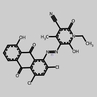 CCn1c(O)c(/N=N/c2c(Cl)cc(Cl)c3c2C(=O)c2c(O)cccc2C3=O)c(C)c(C#N)c1=O